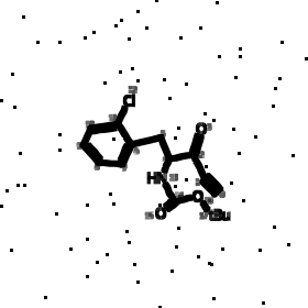 C#CC(=O)C(Cc1ccccc1Cl)NC(=O)OC(C)(C)C